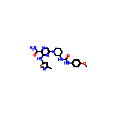 COc1ccc(NC(=O)NC2CCCN(c3cnc(C(N)=O)c(Nc4cc(C)ns4)n3)C2)cc1